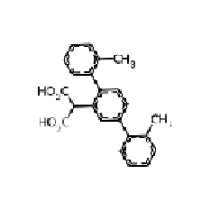 Cc1ccccc1-c1ccc(-c2ccccc2C)c(C(C(=O)O)C(=O)O)c1